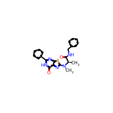 C[C@H](C(=O)NCc1ccccc1)N(C)c1nc2c(=O)[nH]c(-c3ccccc3)nc2s1